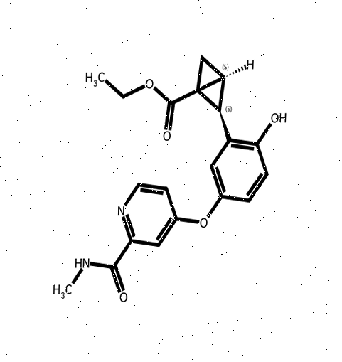 CCOC(=O)C12C[C@H]1[C@H]2c1cc(Oc2ccnc(C(=O)NC)c2)ccc1O